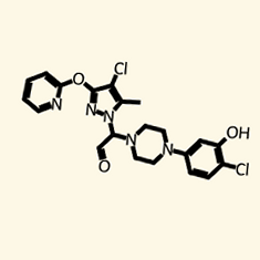 Cc1c(Cl)c(Oc2ccccn2)nn1C(C=O)N1CCN(c2ccc(Cl)c(O)c2)CC1